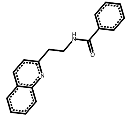 O=C(NCCc1ccc2ccccc2n1)c1ccccc1